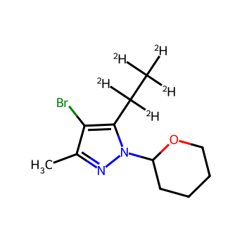 [2H]C([2H])([2H])C([2H])([2H])c1c(Br)c(C)nn1C1CCCCO1